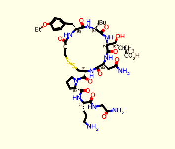 CC(=O)O.CCOc1ccc(C[C@H]2NC(=O)CCSSC[C@@H](C(=O)N3CCC[C@H]3C(=O)N[C@@H](CCCN)C(=O)NCC(N)=O)NC(=O)[C@H](CC(N)=O)NC(=O)[C@H]([C@@H](C)O)NC(=O)[C@H]([C@@H](C)CC)NC2=O)cc1